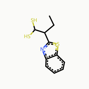 CCC([C](S)S)c1nc2ccccc2s1